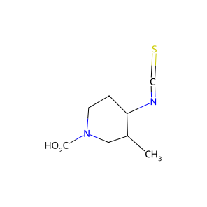 CC1CN(C(=O)O)CCC1N=C=S